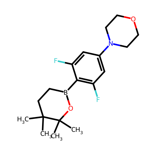 CC1(C)CCB(c2c(F)cc(N3CCOCC3)cc2F)OC1(C)C